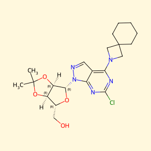 CC1(C)O[C@@H]2[C@H](O1)[C@@H](CO)O[C@H]2n1ncc2c(N3CC4(CCCCC4)C3)nc(Cl)nc21